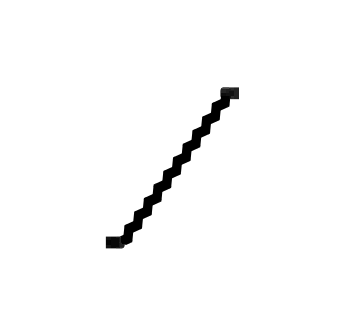 OCCCCCCCCCCCCCCCCCCCCCO